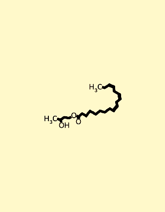 CC/C=C\C/C=C\C/C=C\CCCCCCCC(=O)OCCC(C)O